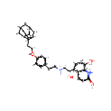 O=c1ccc2c([C@@H](O)CNCCc3ccc(OCCC4C5CC6CC(C5)CC4C6)cc3)ccc(O)c2[nH]1